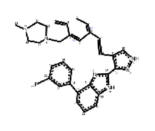 C=C\C(=C/C(=C\C)/C=C/c1c[nH]nc1-c1nc2c(-c3cccc(F)c3)cccc2[nH]1)CN1CCN(C)CC1